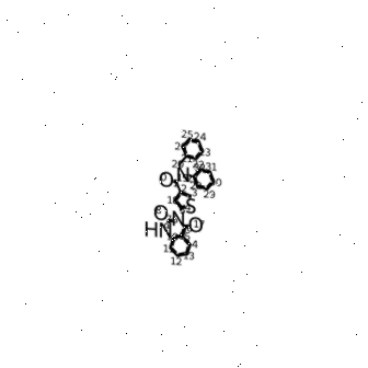 O=C(c1csc(-n2c(=O)[nH]c3ccccc3c2=O)c1)N(Cc1ccccc1)c1ccccc1